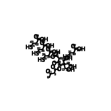 CC(=O)CC(=O)O[C@H](C(=O)CC(C)=O)C(CO)(CO)CO.O=C(O)CCS.O=C(O)CCS.O=C(O)CCS.O=C(O)CCS